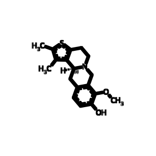 COc1c(O)ccc2c1CN1CCc3sc(C)c(C)c3[C@@H]1C2